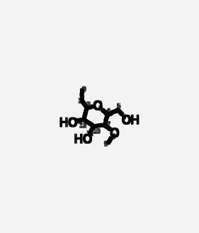 CCC1OC(CO)C(OC)C(O)C1O